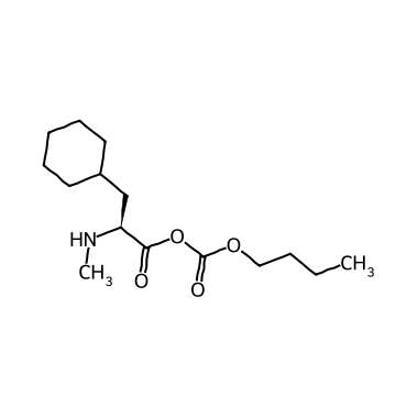 CCCCOC(=O)OC(=O)[C@H](CC1CCCCC1)NC